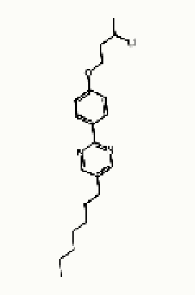 CCCCCCCc1cnc(-c2ccc(OCCC(C)Cl)cc2)nc1